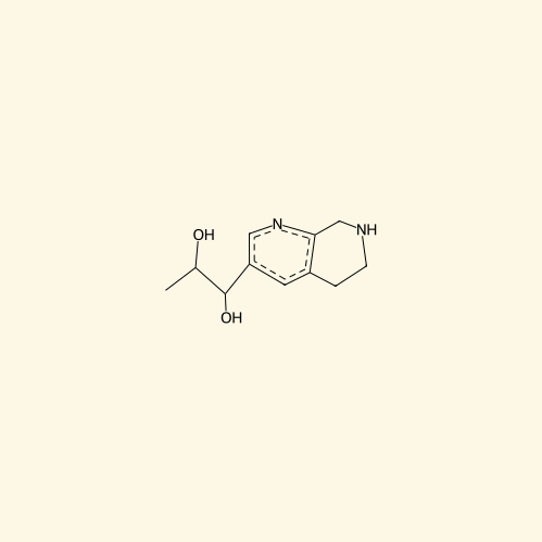 CC(O)C(O)c1cnc2c(c1)CCNC2